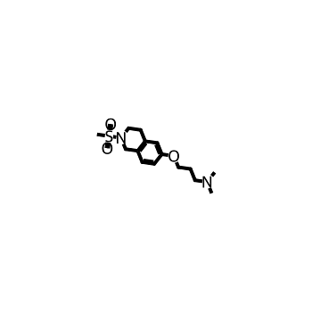 CN(C)CCCOc1ccc2c(c1)CCN(S(C)(=O)=O)C2